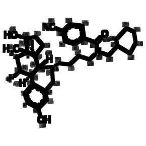 C[C@]12C[C@H](F)[C@@H]3c4ccc(O)cc4C[C@@H](CCCCN(CC4CCCCC4)C(=O)c4ccc(C#N)cc4)[C@H]3[C@@H]1CC[C@@H]2O